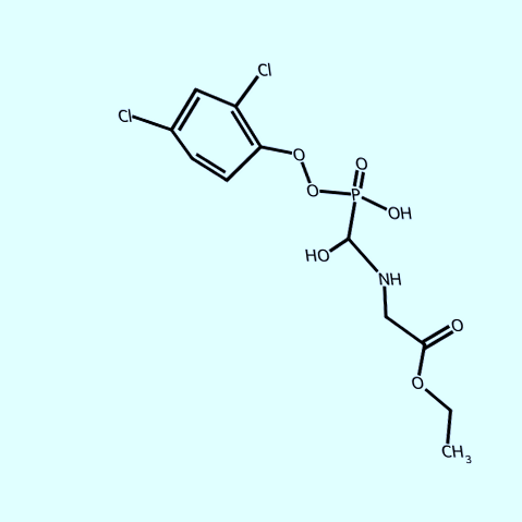 CCOC(=O)CNC(O)P(=O)(O)OOc1ccc(Cl)cc1Cl